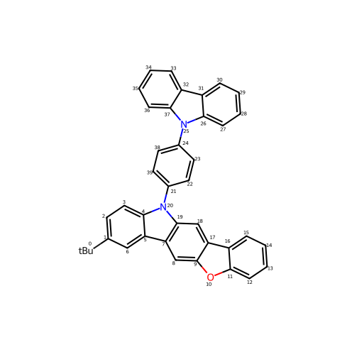 CC(C)(C)c1ccc2c(c1)c1cc3oc4ccccc4c3cc1n2-c1ccc(-n2c3ccccc3c3ccccc32)cc1